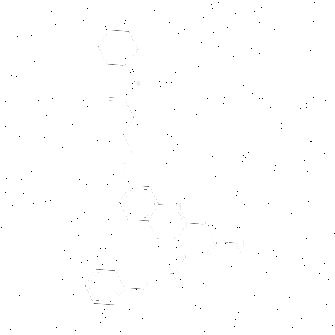 CCNC(=O)NC1=Nc2cc(OCCCC(=O)NN3CCCCC3)ccc2CN1CC(=O)OCc1ccccc1